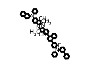 CC1(C)c2cc(-c3ccc(-c4ccc(N(c5ccccc5)c5cc(-c6ccccc6)ccc5F)cc4)c4ccccc34)ccc2-c2nc3c(nc21)-c1ccc(N(c2ccccc2)c2ccc4ccccc4c2)cc1C3(C)C